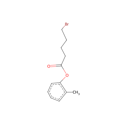 Cc1ccccc1OC(=O)CCCCBr